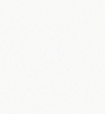 CCn1nnc([C@H]2O[C@@H](n3cnc4c(NCC(c5ccccc5)c5ccccc5)nc(N5CCC(NC(=O)NCc6cccc(O)c6)C5)nc43)[C@H](O)[C@@H]2O)n1